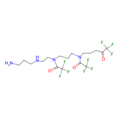 NCCCNCCN(CCCN(CCCC(=O)C(F)(F)F)C(=O)C(F)(F)F)C(=O)C(F)(F)F